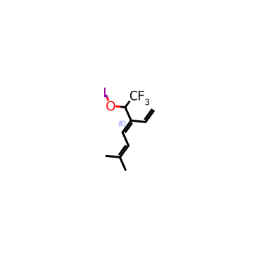 C=C/C(=C\C=C(C)C)C(OI)C(F)(F)F